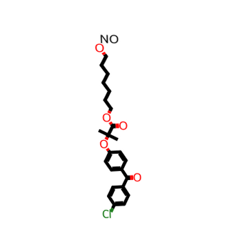 CC(C)(Oc1ccc(C(=O)c2ccc(Cl)cc2)cc1)C(=O)OCCCCCCCON=O